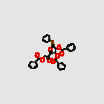 O=C(OC[C@@H](O)[C@@H]1O[C@@H](Sc2ccccc2)C(OC(=O)c2ccccc2)C1OC(=O)c1ccccc1)c1ccccc1